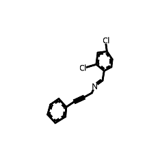 Clc1ccc(C=NCC#Cc2ccccc2)c(Cl)c1